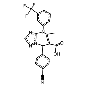 CC1=C(C(=O)O)C(c2ccc(C#N)cc2)n2ncnc2N1c1cccc(C(F)(F)F)c1